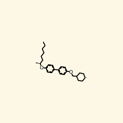 CCCCCC[C@H](C)Oc1ccc(-c2ccc(OCC3CC[CH]CC3)cc2)cc1